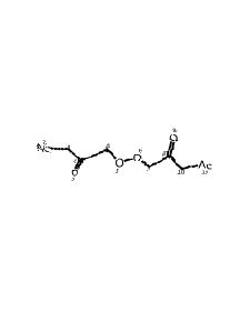 CC(=O)CC(=O)COOCC(=O)CC(C)=O